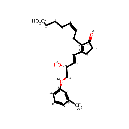 O=C(O)CCC/C=C\CC1=C(/C=C/[C@@H](O)COc2cccc(C(F)(F)F)c2)CCC1=O